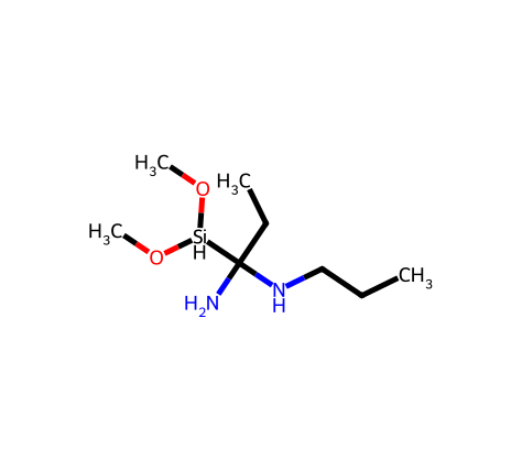 CCCNC(N)(CC)[SiH](OC)OC